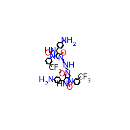 Nc1ccc(C2NC(=O)N(c3cccc(C(F)(F)F)c3)C3=C2C(=O)N(CCNCCN2CC4=C(C2=O)C(c2ccc(N)cc2)NC(=O)N4c2cccc(C(F)(F)F)c2)C3)cc1